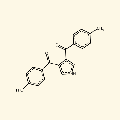 Cc1ccc(C(=O)c2c[nH]cc2C(=O)c2ccc(C)cc2)cc1